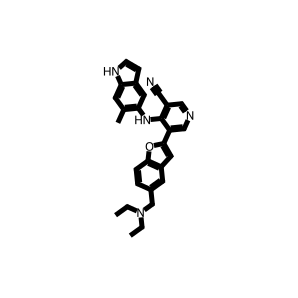 CCN(CC)Cc1ccc2oc(-c3cncc(C#N)c3Nc3cc4cc[nH]c4cc3C)cc2c1